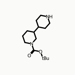 CC(C)(C)OC(=O)N1CCCC(C2CCNCC2)C1